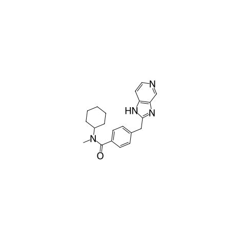 CN(C(=O)c1ccc(Cc2nc3cnccc3[nH]2)cc1)C1CCCCC1